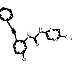 Cc1ccc(C#Cc2cccnc2)c(NC(=O)Nc2cnc(C)cn2)c1